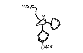 COc1ccc(-c2oc(CCC(=O)O)nc2-c2ccccc2)cc1